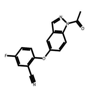 CC(=O)n1ncc2cc(Oc3ccc(F)cc3C#N)ccc21